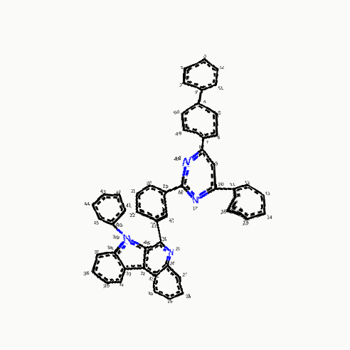 c1ccc(-c2ccc(-c3cc(-c4ccccc4)nc(-c4cccc(-c5nc6ccccc6c6c7ccccc7n(-c7ccccc7)c56)c4)n3)cc2)cc1